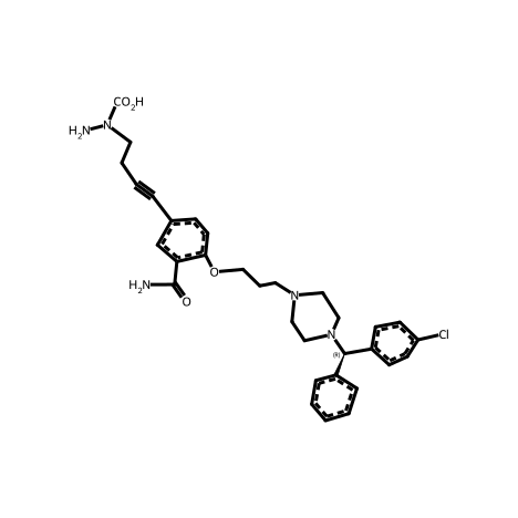 NC(=O)c1cc(C#CCCN(N)C(=O)O)ccc1OCCCN1CCN([C@H](c2ccccc2)c2ccc(Cl)cc2)CC1